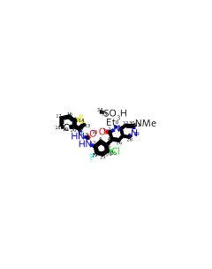 CCN1C(=O)C(c2cc(NC(=O)Nc3csc4ccccc34)c(F)cc2Cl)=CC2C=NC(NC)=CC21.CS(=O)(=O)O